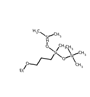 CCOCCC[Si](C)(O[SiH](C)C)O[Si](C)(C)C